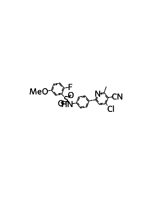 COc1ccc(F)c(S(=O)(=O)Nc2ccc(-c3cc(Cl)c(C#N)c(C)n3)cc2)c1